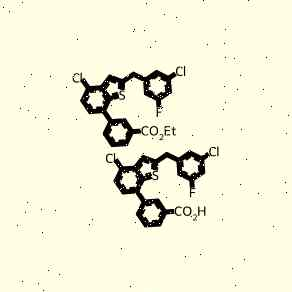 CCOC(=O)c1cccc(-c2ccc(Cl)c3cc(Cc4cc(F)cc(Cl)c4)sc23)c1.O=C(O)c1cccc(-c2ccc(Cl)c3cc(Cc4cc(F)cc(Cl)c4)sc23)c1